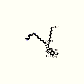 CC/C=C\C/C=C\C/C=C\CCCCCCCC(=O)O[C@H](COC(=O)CCCCCCCCCCCCCCCCC)COP(=O)(O)OC1C(O)C(O)C(O)[C@@H](O)C1O